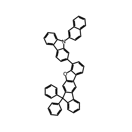 c1ccc(C2(c3ccccc3)c3ccccc3-c3cc4c(cc32)oc2c(-c3ccc5c6ccccc6n(-c6ccc7ccccc7c6)c5c3)cccc24)cc1